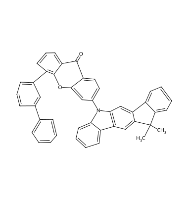 CC1(C)c2ccccc2-c2cc3c(cc21)c1ccccc1n3-c1ccc2c(=O)c3cccc(-c4cccc(-c5ccccc5)c4)c3oc2c1